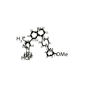 COc1cccc(N2CCN(c3ccnc4ccc(-c5c[nH]nc5C)cc34)CC2)n1.Cl.Cl.Cl